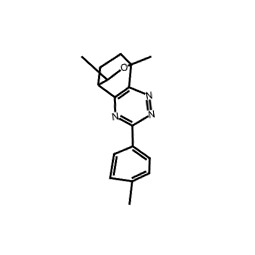 Cc1ccc(-c2nnc3c(n2)C2CCC3(C)OC2C)cc1